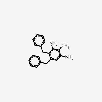 Cc1c(N)cc(Cc2ccccc2)c(Cc2ccccc2)c1N